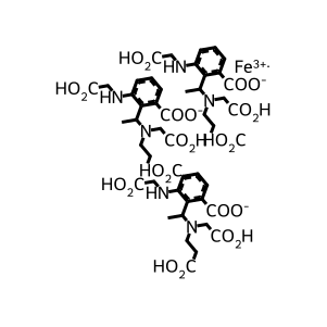 CC(c1c(NCC(=O)O)cccc1C(=O)[O-])N(CCC(=O)O)CC(=O)O.CC(c1c(NCC(=O)O)cccc1C(=O)[O-])N(CCC(=O)O)CC(=O)O.CC(c1c(NCC(=O)O)cccc1C(=O)[O-])N(CCC(=O)O)CC(=O)O.[Fe+3]